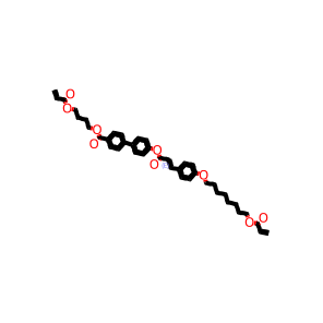 C=CC(=O)OCCCCCCCCOc1ccc(/C=C/C(=O)Oc2ccc(-c3ccc(C(=O)OCCCCOC(=O)C=C)cc3)cc2)cc1